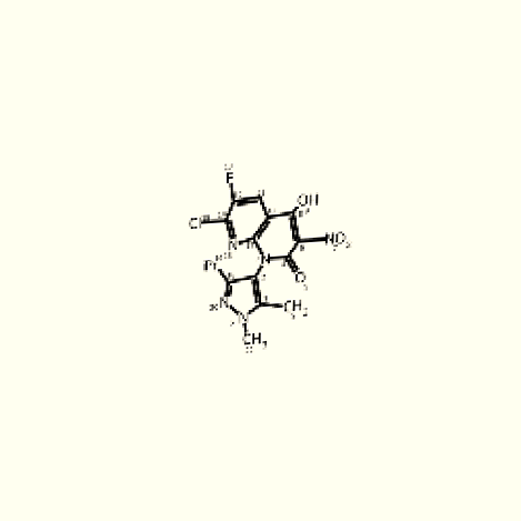 Cc1c(-n2c(=O)c([N+](=O)[O-])c(O)c3cc(F)c(Cl)nc32)c(C(C)C)nn1C